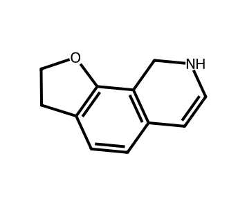 C1=Cc2ccc3c(c2CN1)OCC3